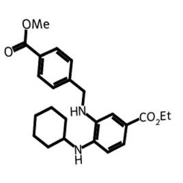 CCOC(=O)c1ccc(NC2CCCCC2)c(NCc2ccc(C(=O)OC)cc2)c1